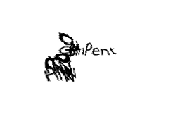 CCCCCc1cn(C2CCCCC2)c(=O)n1Cc1ccc(-c2cccnc2-c2nnn[nH]2)cc1